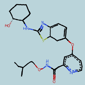 CC(C)CONC(=O)c1cc(OC2=CC=C3N=C(NC4CCCC[C@H]4O)SC3C2)ccn1